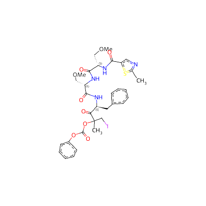 COC[C@H](NC(=O)c1cnc(C)s1)C(=O)N[C@@H](COC)C(=O)N[C@@H](Cc1ccccc1)C(=O)C(C)(CI)OC(=O)Oc1ccccc1